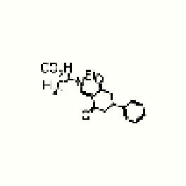 CCN(C=C1C(=O)CC(c2ccccc2)CC1=O)C(C)C(=O)O